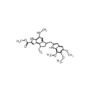 CNc1cc2c(c3cc(C(=O)OC)[nH]c13)C(CCl)CN2Cc1cc2cc(OC)c(OC)c(OC)c2[nH]1